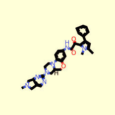 Cc1cc(-c2ccccc2)c(C(=O)C(=O)Nc2ccc3c(c2)OC[C@H]2CN(c4ncc5c(n4)CN(C)C5)CCN32)n1C